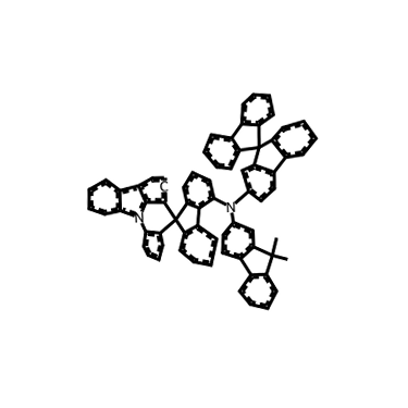 CC1(C)c2ccccc2-c2ccc(N(c3ccc4c(c3)C3(c5ccccc5-c5ccccc53)c3ccccc3-4)c3cccc4c3-c3ccccc3C43c4ccccc4-n4c5ccccc5c5cccc3c54)cc21